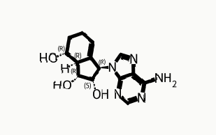 Nc1ncnc2c1ncn2[C@@H]1C2=CCC[C@@H](O)[C@@H]2[C@@H](O)[C@H]1O